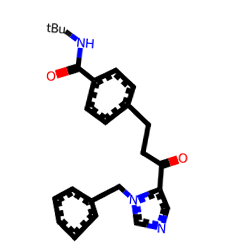 CC(C)(C)NC(=O)c1ccc(CCC(=O)c2cncn2Cc2ccccc2)cc1